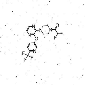 C=C(F)C(=O)N1CCN(c2nccnc2Oc2ccc(C(F)(F)F)nc2)CC1